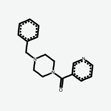 O=C(c1cccnc1)N1CCN(Cc2ccccc2)CC1